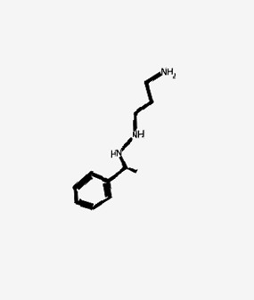 C[C@H](NNCCCN)c1ccccc1